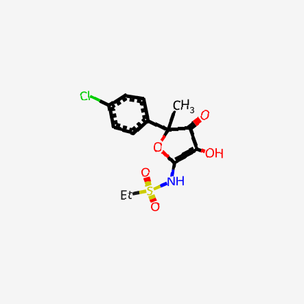 CCS(=O)(=O)NC1=C(O)C(=O)C(C)(c2ccc(Cl)cc2)O1